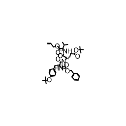 C=CCOC(=O)[C@@H](NC(=O)[C@H](CCC(=O)OC(C)(C)C)NC(=O)[C@H](Cc1ccc(OC(C)(C)C)cc1)NC(=O)OCc1ccccc1)C(C)C